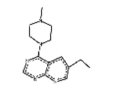 CCc1cnc2ncnc(N3CCN(C)CC3)c2c1